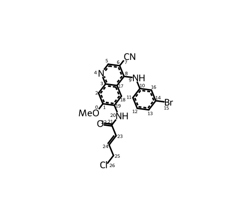 COc1cc2ncc(C#N)c(Nc3cccc(Br)c3)c2cc1NC(=O)C=CCCl